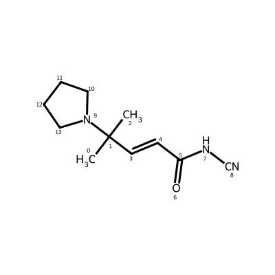 CC(C)(C=CC(=O)NC#N)N1CCCC1